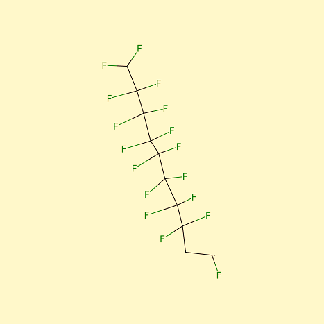 F[CH]CC(F)(F)C(F)(F)C(F)(F)C(F)(F)C(F)(F)C(F)(F)C(F)(F)C(F)F